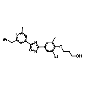 CCc1cc(-c2noc(-c3cc(C)nc(CC(C)C)c3)n2)cc(C)c1OCCCO